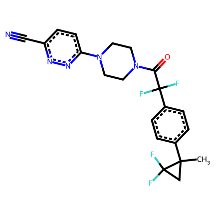 CC1(c2ccc(C(F)(F)C(=O)N3CCN(c4ccc(C#N)nn4)CC3)cc2)CC1(F)F